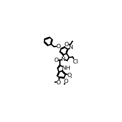 COc1cc2cc(C(=O)N3CC(CCl)c4c3cc(OCc3ccccc3)c3oc(C)nc43)[nH]c2c(OC)c1OC